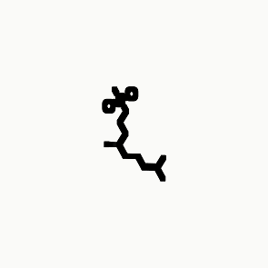 CC(C)=CCC[C@@H](C)CCCS(C)(=O)=O